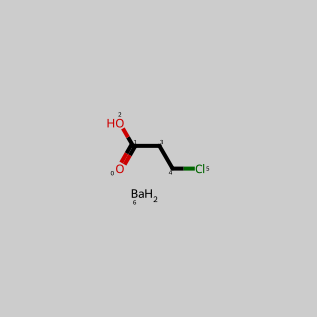 O=C(O)CCCl.[BaH2]